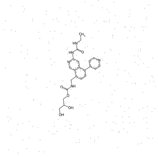 CCNC(=O)Nc1cc2c(-c3ccncc3)ccc(CNC(=O)OCC(O)CO)c2cn1